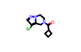 O=C(C1CCC1)N1CCn2ncc(Br)c2C1